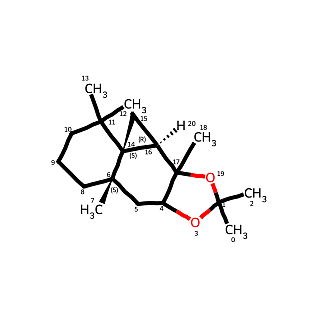 CC1(C)OC2C[C@]3(C)CCCC(C)(C)[C@@]34C[C@H]4C2(C)O1